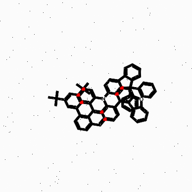 CC(C)(C)c1cc(-c2cccc3cccc(-c4ccccc4N(c4ccc5c(c4)C(c4ccccc4)(c4ccccc4)c4ccccc4-5)c4ccccc4-c4cccc5oc6ccccc6c45)c23)cc(C(C)(C)C)c1